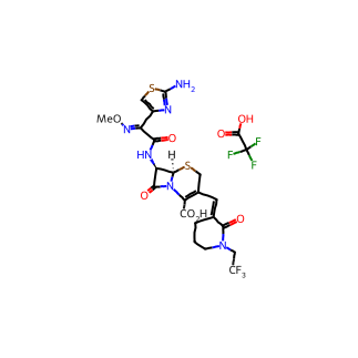 CON=C(C(=O)N[C@@H]1C(=O)N2C(C(=O)O)=C(C=C3CCCN(CC(F)(F)F)C3=O)CS[C@H]12)c1csc(N)n1.O=C(O)C(F)(F)F